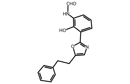 O=CNc1cccc(-c2ncc(CCc3ccccc3)o2)c1O